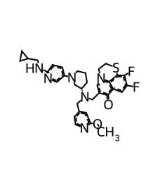 COc1cc(CN(Cc2cn3c4c(c(F)c(F)cc4c2=O)SCC3)[C@H]2CCCN(c3ccc(NCC4CC4)nc3)C2)ccn1